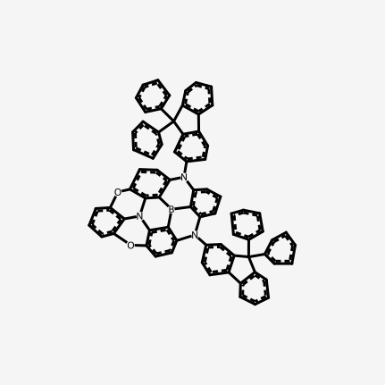 c1ccc(C2(c3ccccc3)c3ccccc3-c3ccc(N4c5cccc6c5B5c7c4ccc4c7N7c8c(cccc8Oc8ccc(c5c87)N6c5ccc6c(c5)C(c5ccccc5)(c5ccccc5)c5ccccc5-6)O4)cc32)cc1